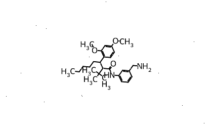 CCCCCC(c1ccc(OC)cc1OC)C(C(=O)Nc1cccc(CN)c1)C(C)(C)C